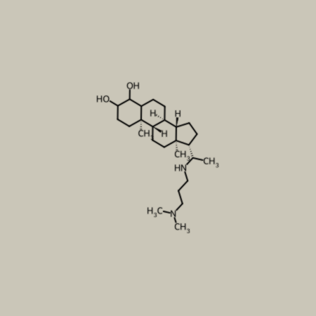 CC(NCCCN(C)C)[C@H]1CC[C@H]2[C@@H]3CCC4C(O)C(O)CC[C@]4(C)[C@H]3CC[C@]12C